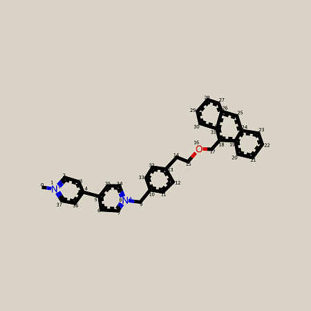 C[n+]1ccc(-c2cc[n+](Cc3ccc(CCOCc4c5ccccc5cc5ccccc45)cc3)cc2)cc1